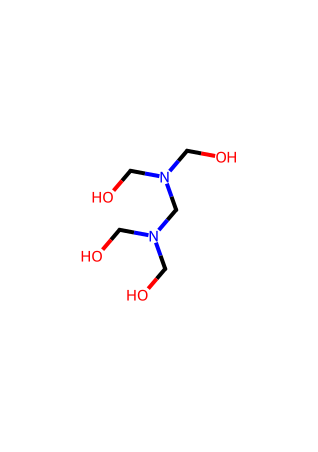 OCN(CO)CN(CO)CO